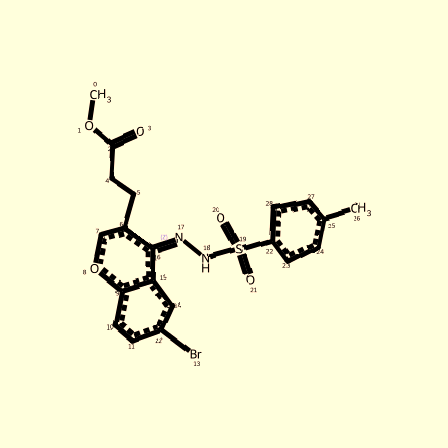 COC(=O)CCc1coc2ccc(Br)cc2/c1=N\NS(=O)(=O)c1ccc(C)cc1